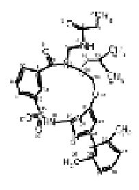 CCC(=O)NCN1C(=O)c2cccc(c2)S(=O)(=O)Nc2nc(cc(-c3c(C)cccc3C)n2)OC[C@H]1CC(C)C